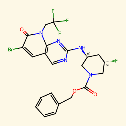 O=C(OCc1ccccc1)N1C[C@@H](F)C[C@H](Nc2ncc3cc(Br)c(=O)n(CC(F)(F)F)c3n2)C1